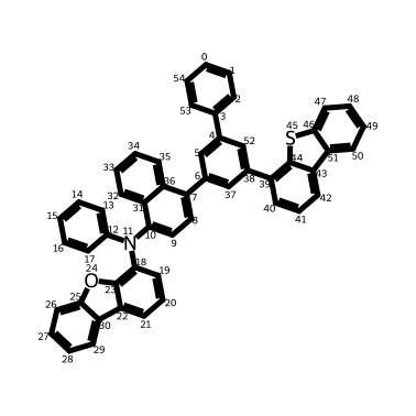 c1ccc(-c2cc(-c3ccc(N(c4ccccc4)c4cccc5c4oc4ccccc45)c4ccccc34)cc(-c3cccc4c3sc3ccccc34)c2)cc1